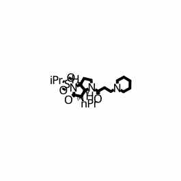 CCC[C@H]1C(=O)N(S(=O)(=O)C(C)C)[C@H]2CCN(C(=O)CCN3CCCCC3)[C@H]12